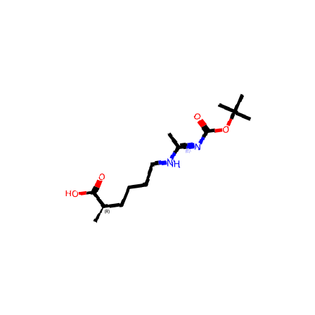 C/C(=N\C(=O)OC(C)(C)C)NCCCC[C@@H](C)C(=O)O